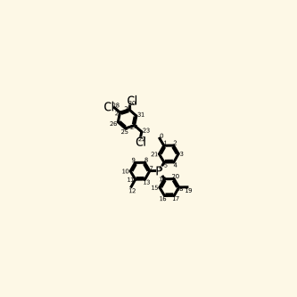 Cc1cccc(P(c2cccc(C)c2)c2cccc(C)c2)c1.ClCc1ccc(Cl)c(Cl)c1